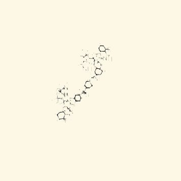 CN[C@@H](C)C(=O)NC(C(=O)N1Cc2cc(NC(=O)c3ccc(C(=O)Nc4ccc5c(c4)CN(C(=O)[C@@H](NC(=O)[C@H](C)NC)C(C)(C)C)[C@H](C(=O)N[C@H](C)c4ccccc4F)C5)cc3)ccc2C[C@H]1C(=O)N[C@H](C)c1ccccc1F)C(C)(C)C